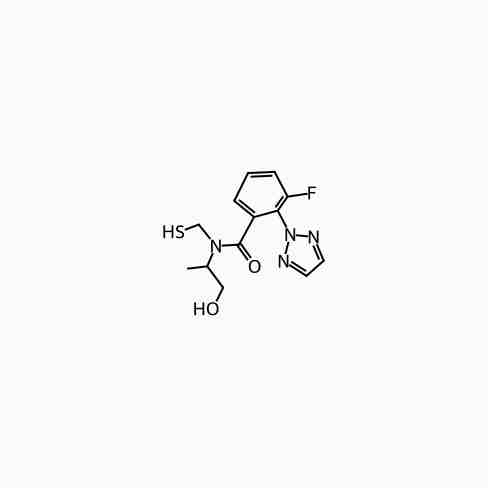 CC(CO)N(CS)C(=O)c1cccc(F)c1-n1nccn1